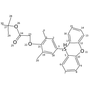 Cc1cc([SH]2c3ccccc3Oc3ccccc32)cc(C)c1OCC(=O)OC(C)(C)C